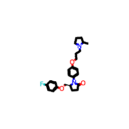 CC1CCCN1CCCOc1ccc(N2C(=O)CC[C@H]2COc2ccc(F)cc2)cc1